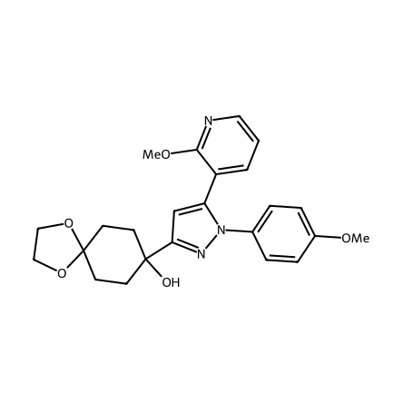 COc1ccc(-n2nc(C3(O)CCC4(CC3)OCCO4)cc2-c2cccnc2OC)cc1